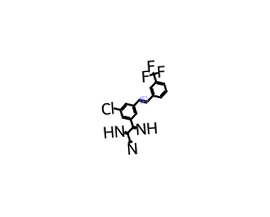 N#CC(=N)C(=N)c1cc(Cl)cc(/C=C/c2cccc(C(F)(F)F)c2)c1